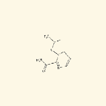 CC(ON1CC=CN=C1C(N)=O)C(F)(F)F